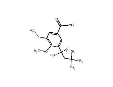 CCc1cc(C(=O)O)cc(C(C)(C)CC(C)(C)C)c1OC